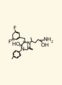 C=CCN(c1ccc(C)cc1)[C@H](O)[C@@H](CC1=C[C@@H](F)CC(F)=C1)NC(C)CC[C@@H](N)O